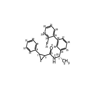 C[C@H](NC(=O)C1CC1c1ccccc1)c1cccc(-c2cccnc2F)c1